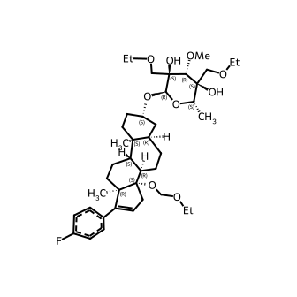 CCOCO[C@]12CC=C(c3ccc(F)cc3)[C@@]1(C)CC[C@H]1[C@H]2CC[C@@H]2C[C@@H](O[C@@H]3O[C@@H](C)[C@@](O)(COCC)[C@@H](OC)[C@@]3(O)COCC)CC[C@@]21C